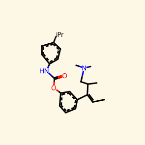 CC=C(c1cccc(OC(=O)Nc2ccc(C(C)C)cc2)c1)C(C)CN(C)C